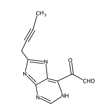 CC#CCc1nc2nc[nH]c(C(=O)C=O)c-2n1